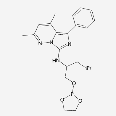 Cc1cc(C)c2c(-c3ccccc3)nc(NC(COP3OCCO3)CC(C)C)n2n1